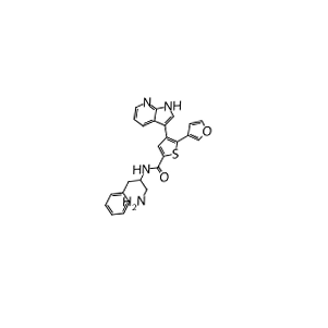 NCC(Cc1ccccc1)NC(=O)c1cc(-c2c[nH]c3ncccc23)c(-c2ccoc2)s1